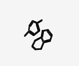 Cc1ccc(C)cc1.c1ccc2c(c1)CCCC2